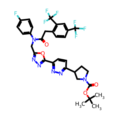 CC(C)(C)OC(=O)N1CCC(c2ccc(-c3nnc(CN(C(=O)Cc4ccc(C(F)(F)F)cc4C(F)(F)F)c4ccc(F)cc4)o3)nn2)C1